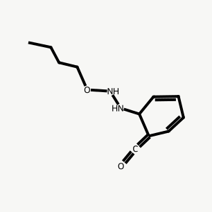 CCCCONNC1C=CC=CC1=C=O